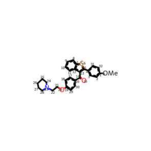 COc1ccc(-c2sc3ccccc3c2C(=O)c2ccc(OCCN3CCCCC3)cc2)cc1